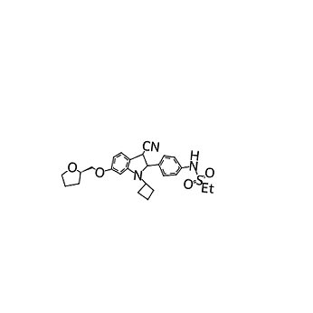 CCS(=O)(=O)Nc1ccc(C2C(C#N)c3ccc(OC[C@H]4CCCO4)cc3N2C2CCC2)cc1